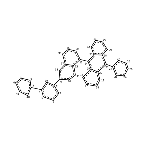 c1ccc(-c2cccc(-c3ccc4c(-c5c6ccccc6c(-c6ccccc6)c6ccccc56)cccc4c3)c2)cc1